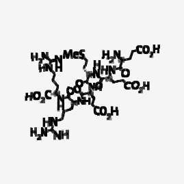 CSCC[C@H](NC(=O)[C@H](CCC(=O)O)NC(=O)[C@@H](N)CCC(=O)O)C(=O)N[C@@H](CCC(=O)O)C(=O)N[C@@H](CCCNC(=N)N)C(=O)N[C@@H](CCCNC(=N)N)C(=O)O